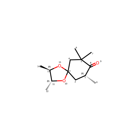 C[C@@H]1CC2(CC(C)(C)C1=O)O[C@H](C)[C@@H](C)O2